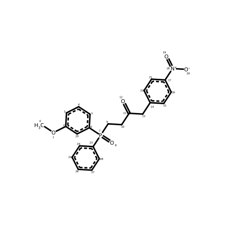 COc1cccc(P(=O)(CCC(=O)Cc2ccc([N+](=O)[O-])cc2)c2ccccc2)c1